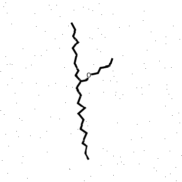 CCCCCCCCCCCCC(CCCCCCCCC)COCCCC